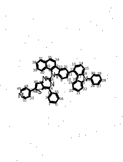 c1ccc(-c2nc(-n3c4ccc(-c5cccc6c5c5ccccc5n6-c5ccccc5)cc4c4ccc5ccccc5c43)nc3cc(-c4ccncc4)sc23)cc1